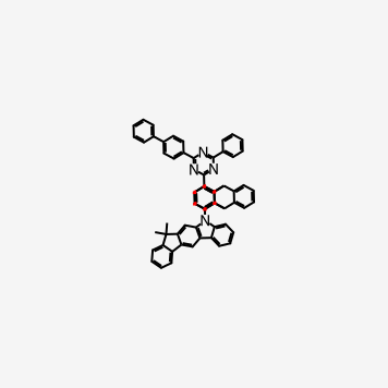 CC1(C)c2ccccc2-c2cc3c4ccccc4n(-c4ccc(-c5nc(-c6ccccc6)nc(-c6ccc(-c7ccccc7)cc6)n5)c5c4C4c6ccccc6C5c5ccccc54)c3cc21